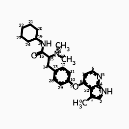 Cc1c[nH]c2nccc(Oc3ccc(CC(C(=O)NC4CCCCC4)N(C)C)cc3)c12